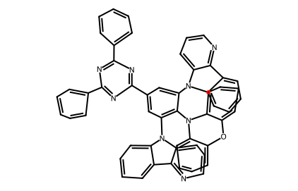 c1ccc(-c2nc(-c3ccccc3)nc(-c3cc(-n4c5ccccc5c5ncccc54)c(N4c5ccccc5Oc5ccccc54)c(-n4c5ccccc5c5ncccc54)c3)n2)cc1